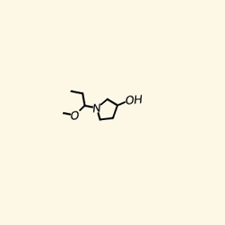 CCC(OC)N1CCC(O)C1